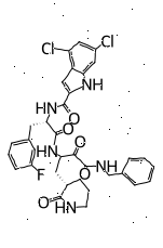 O=C(NCc1ccccc1)C(=O)C(C[C@@H]1CCCNC1=O)NC(=O)[C@H](Cc1cccc(F)c1)NC(=O)c1cc2c(Cl)cc(Cl)cc2[nH]1